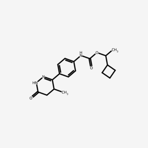 CC1CC(=O)NN=C1c1ccc(NC(=O)OC(C)C2CCC2)cc1